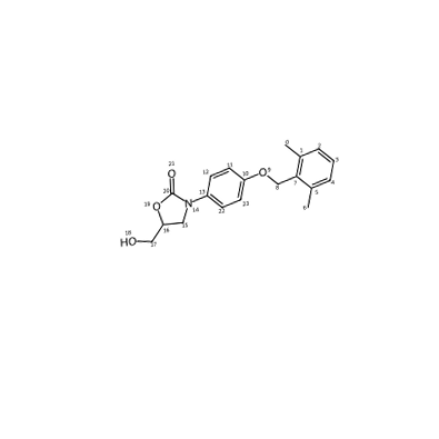 Cc1cccc(C)c1COc1ccc(N2CC(CO)OC2=O)cc1